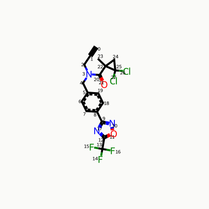 C#CCN(Cc1ccc(-c2noc(C(F)(F)F)n2)cc1)C(=O)C1(C)CC1(Cl)Cl